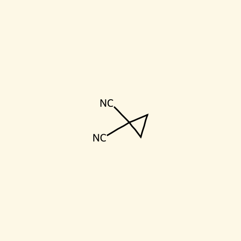 N#CC1(C#N)CC1